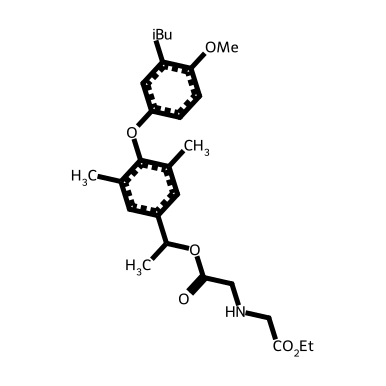 CCOC(=O)CNCC(=O)OC(C)c1cc(C)c(Oc2ccc(OC)c(C(C)CC)c2)c(C)c1